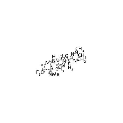 C=N/C(=N\N(C)C)C(C)(C)n1cc(Nc2ncc(C(F)(F)F)c(NC)n2)c(C)n1